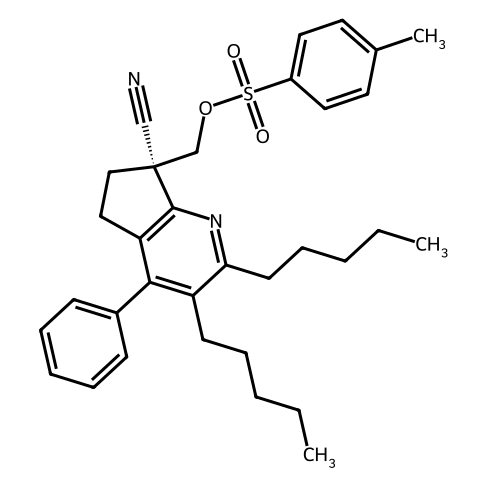 CCCCCc1nc2c(c(-c3ccccc3)c1CCCCC)CC[C@@]2(C#N)COS(=O)(=O)c1ccc(C)cc1